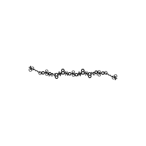 C=C(C)C(=O)OCCCCCCOc1ccc(C(=O)Oc2ccc(CNc3ccc(N=Nc4ccc(N=Nc5ccc(OC(=O)c6ccc(N=Nc7ccc(N=Nc8ccc(NCc9ccc(OC(=O)c%10ccc(OCCCCCCOC(=O)C(=C)C)cc%10)cc9)c9ccccc89)c8ccccc78)cc6)cc5)c5ccccc45)c4ccccc34)cc2)cc1